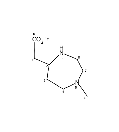 CCOC(=O)CC1CCN(C)CCN1